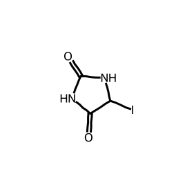 O=C1NC(=O)C(I)N1